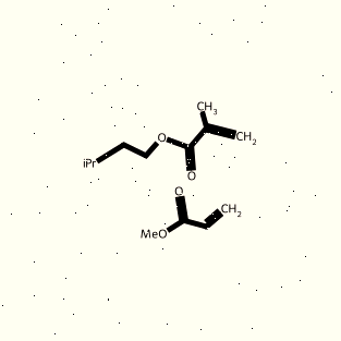 C=C(C)C(=O)OCCC(C)C.C=CC(=O)OC